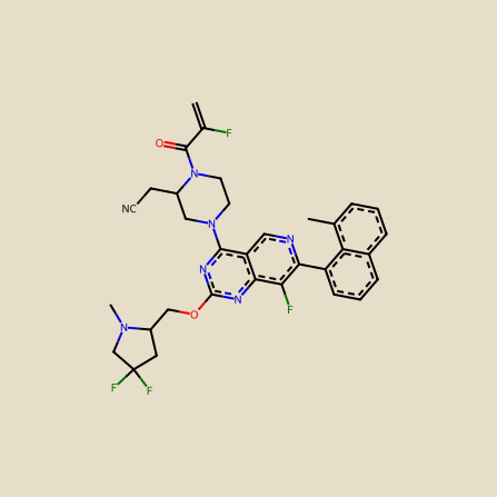 C=C(F)C(=O)N1CCN(c2nc(OCC3CC(F)(F)CN3C)nc3c(F)c(-c4cccc5cccc(C)c45)ncc23)CC1CC#N